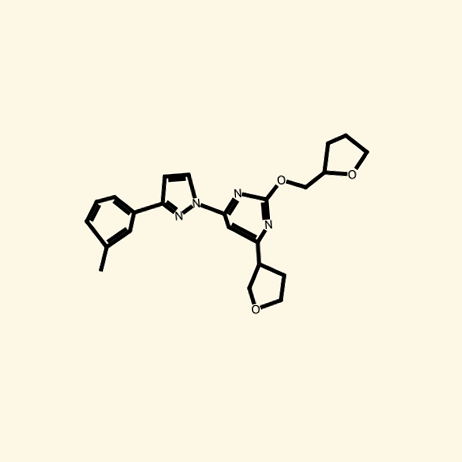 Cc1cccc(-c2ccn(-c3cc(C4CCOC4)nc(OCC4CCCO4)n3)n2)c1